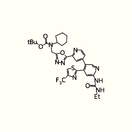 CCNC(=O)Nc1cc(-c2nc(C(F)(F)F)cs2)c(-c2ccnc(-c3nnc(CN(C(=O)OC(C)(C)C)C4CCCCC4)o3)c2)cn1